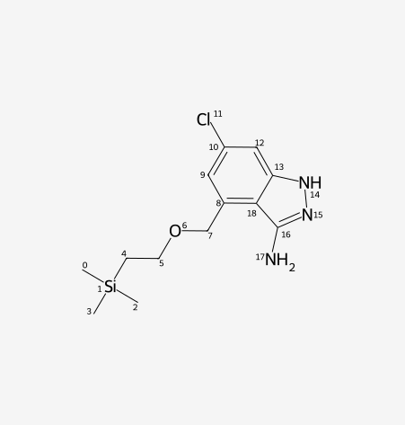 C[Si](C)(C)CCOCc1cc(Cl)cc2[nH]nc(N)c12